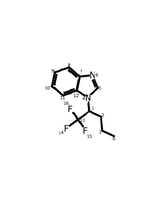 CCCC(n1cnc2ccccc21)C(F)(F)F